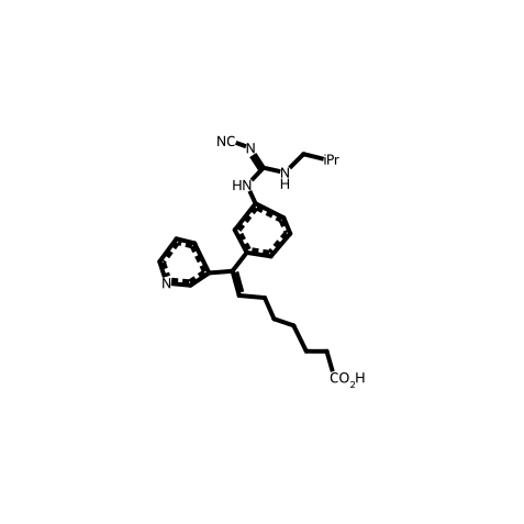 CC(C)CN/C(=N/C#N)Nc1cccc(/C(=C\CCCCCC(=O)O)c2cccnc2)c1